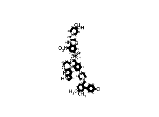 CC1(C)CCC(CN2CCN(c3ccc(C(=O)NS(=O)(=O)c4cc5c(c([N+](=O)[O-])c4)N[C@H](CN4CCC(C)(O)CC4)CO5)c(N4CCCOc5nc6[nH]ccc6cc54)c3)CC2)=C(c2ccc(Cl)cc2)C1